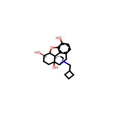 Oc1ccc2c3c1OC1[C@H](O)CCC4(O)C(C2)N(CC2CCC2)CC[C@@]314